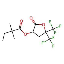 CCC(C)(C)C(=O)OC1CC(C(F)(F)F)(C(F)(F)F)OC1=O